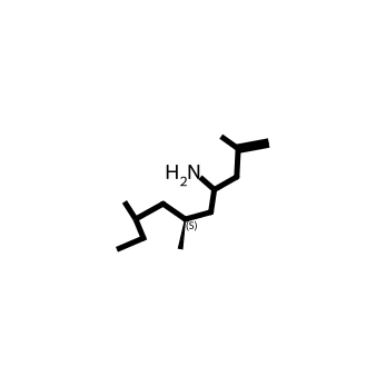 C=C(C)CC(N)C[C@@H](C)CC(C)CC